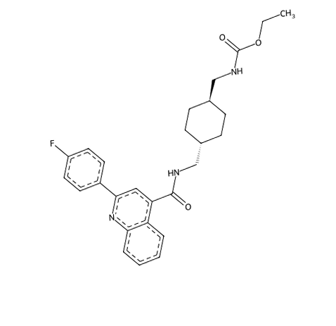 CCOC(=O)NC[C@H]1CC[C@H](CNC(=O)c2cc(-c3ccc(F)cc3)nc3ccccc23)CC1